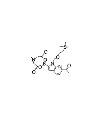 CC(=O)c1ccc2cc(B3OC(=O)CN(C)CC(=O)O3)n(COCC[Si](C)(C)C)c2n1